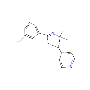 CC1(C)N=C(c2cccc(Cl)c2)CC1c1ccncc1